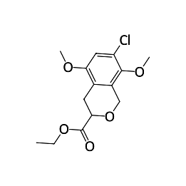 CCOC(=O)C1Cc2c(OC)cc(Cl)c(OC)c2CO1